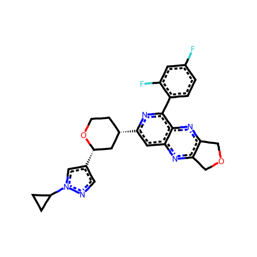 Fc1ccc(-c2nc([C@H]3CCO[C@@H](c4cnn(C5CC5)c4)C3)cc3nc4c(nc23)COC4)c(F)c1